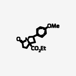 CCOC(=O)C12CCC(=O)N1CC(c1ccc(OC)cc1)C2